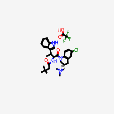 CC(c1c[nH]c2ccccc12)C(NC(=O)CC(C)(C)C)C(=O)N1C[C@@H](CN(C)C)Cc2cc(Cl)ccc21.O=C(O)C(F)(F)F